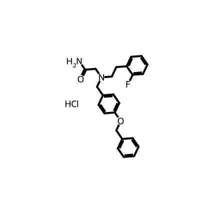 Cl.NC(=O)CN(CCc1ccccc1F)Cc1ccc(OCc2ccccc2)cc1